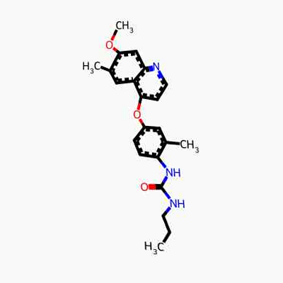 CCCNC(=O)Nc1ccc(Oc2ccnc3cc(OC)c(C)cc23)cc1C